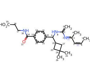 C=C(/N=C(C)/C=C\C)NC(c1ccc(C(=O)NCCC(=O)O)cc1)C1CC(C)(C)C1